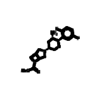 COC(=O)N1CC2CN([C@H]3CO[C@H](c4cc(F)ccc4F)[C@@H](N)C3)CC21